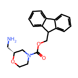 NC[C@@H]1CN(C(=O)OCC2c3ccccc3-c3ccccc32)CCO1